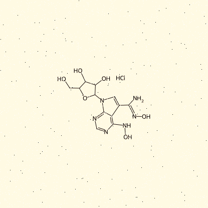 Cl.NC(=NO)c1cn(C2OC(CO)C(O)C2O)c2ncnc(NO)c12